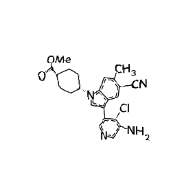 COC(=O)[C@H]1CC[C@H](n2cc(-c3cncc(N)c3Cl)c3cc(C#N)c(C)cc32)CC1